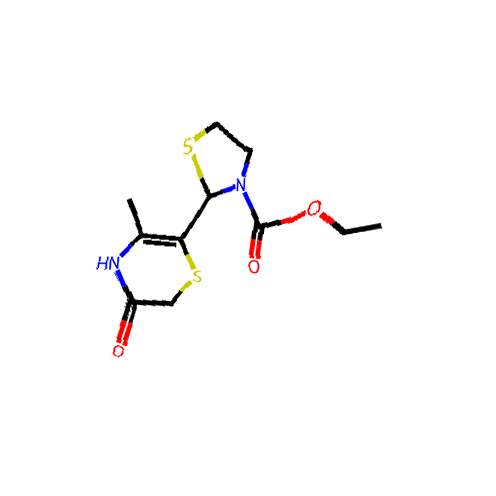 CCOC(=O)N1CCSC1C1=C(C)NC(=O)CS1